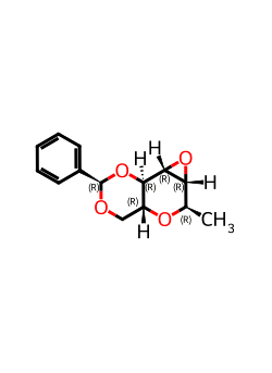 C[C@H]1O[C@@H]2CO[C@@H](c3ccccc3)O[C@H]2[C@@H]2O[C@@H]21